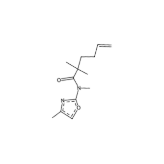 C=CCCC(C)(C)C(=O)N(C)c1nc(C)co1